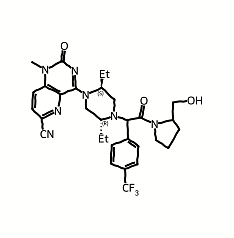 CC[C@H]1CN(C(C(=O)N2CCCC2CO)c2ccc(C(F)(F)F)cc2)[C@H](CC)CN1c1nc(=O)n(C)c2ccc(C#N)nc12